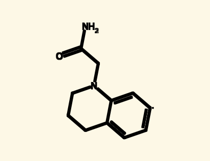 NC(=O)CN1CCCc2cc[c]cc21